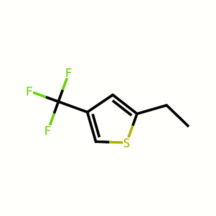 CCc1cc(C(F)(F)F)cs1